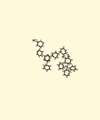 N#Cc1cccc(-c2cccc(-c3nc(-c4ccccc4)nc(-c4ccc(-c5cccc6c5Oc5c(ccc7c5-c5ccccc5C7(c5ccccc5)c5ccccc5)O6)cc4)n3)c2)c1